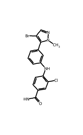 Cn1ncc(Br)c1-c1cccc(Nc2ccc(C([NH])=O)cc2Cl)c1